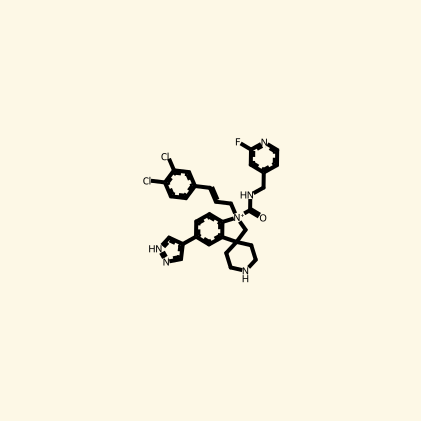 O=C(NCc1ccnc(F)c1)[N+]1(C/C=C/c2ccc(Cl)c(Cl)c2)CC2(CCNCC2)c2cc(-c3cn[nH]c3)ccc21